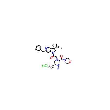 C[C@@H]1CN(CC(=O)N2CC(C)(C)c3cnc(Cc4ccccc4)cc32)[C@@H](C(=O)N2CCOCC2)CN1.Cl